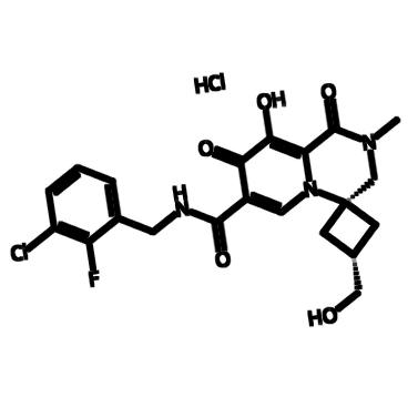 CN1C[C@]2(C[C@@H](CO)C2)n2cc(C(=O)NCc3cccc(Cl)c3F)c(=O)c(O)c2C1=O.Cl